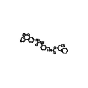 COc1cc(NC(=O)Nc2cccc(CNC(=O)OC(CC#N)CN3CCCCC3)c2)ccc1-c1cnco1